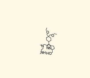 CCOCC1(COCC)CCC(c2c(CN(C)CCNC)nn3c2CCC3CO)CC1